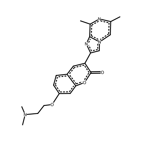 Cc1cn2cc(-c3cc4ccc(OCCN(C)C)cc4oc3=O)nc2c(C)n1